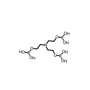 OB(O)OCCN(CCOB(O)O)CCOB(O)O